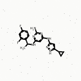 CC(Nc1cc(Nc2cc(C3CC3)[nH]n2)nc(N)n1)c1ccc(F)cc1F